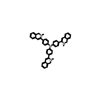 CN1Cc2ccccc2C=C1c1ccc(N(c2ccc(C3=Cc4ccccc4CN3C)cc2)c2ccc(C3=Cc4ccccc4CN3C)cc2)cc1